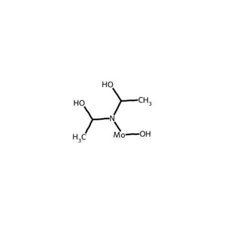 CC(O)[N]([Mo][OH])C(C)O